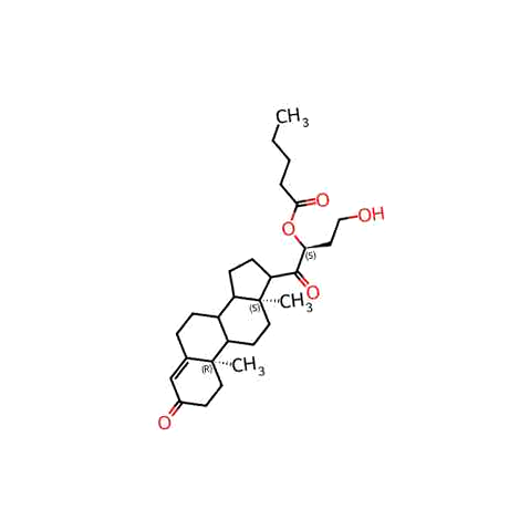 CCCCC(=O)O[C@@H](CCO)C(=O)C1CCC2C3CCC4=CC(=O)CC[C@]4(C)C3CC[C@]12C